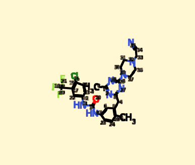 Cc1nc(Cc2cc(NC(=O)Nc3ccc(Cl)c(C(F)(F)F)c3)ccc2C)nc(N2CCN(CC#N)CC2)n1